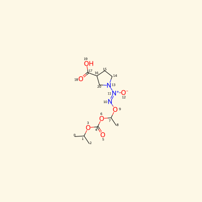 CC(C)OC(=O)OC(C)ON=[N+]([O-])N1CCC(C(=O)O)C1